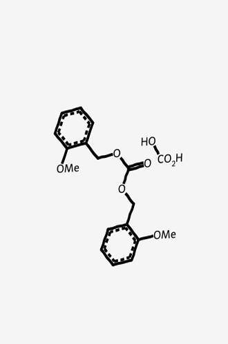 COc1ccccc1COC(=O)OCc1ccccc1OC.O=C(O)O